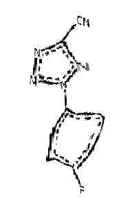 N#Cc1nnn(-c2ccc(F)cc2)n1